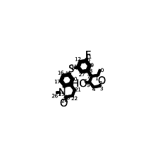 CC1OCCC(O)C1c1cc(F)cc(Sc2ccc3c(c2)CCC(=O)N3C)c1